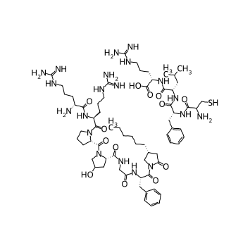 CC(C)C[C@H](NC(=O)[C@@H](Cc1ccccc1)NC(=O)C(N)CS)C(=O)N[C@@H](CCCNC(=N)N)C(=O)O.CCCCCC[C@@H]1CC(=O)N(C(=O)[C@H](Cc2ccccc2)NC(=O)CNC(=O)[C@@H]2CC(O)CN2C(=O)[C@@H]2CCCN2C(=O)[C@H](CCCNC(=N)N)NC(=O)[C@H](N)CCCNC(=N)N)C1